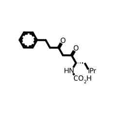 CC(C)C[C@H](NC(=O)O)C(=O)CC(=O)CCc1ccccc1